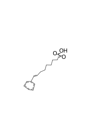 O=S(=O)(O)CCCCCCC=Cc1ccccc1